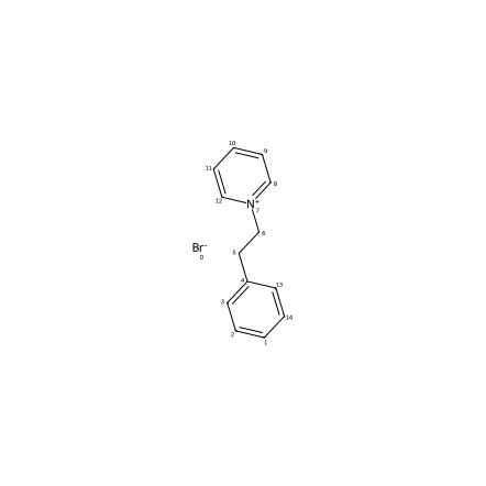 [Br-].c1ccc(CC[n+]2ccccc2)cc1